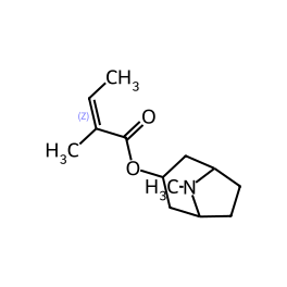 C/C=C(/C)C(=O)OC1CC2CCC(C1)N2C